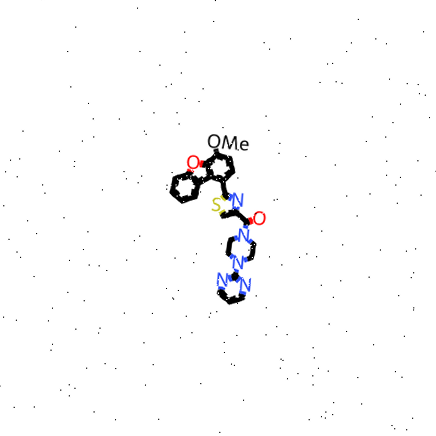 COc1ccc(-c2nc(C(=O)N3CCN(c4ncccn4)CC3)cs2)c2c1oc1ccccc12